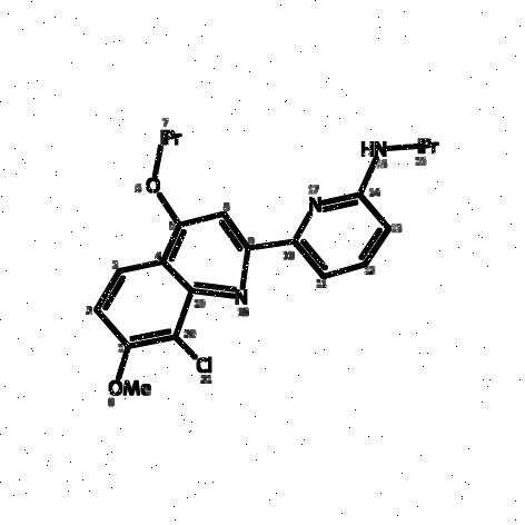 COc1ccc2c(OC(C)C)cc(-c3cccc(NC(C)C)n3)nc2c1Cl